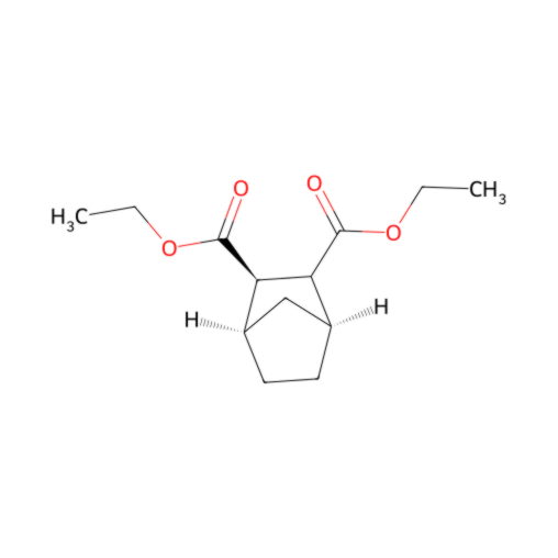 CCOC(=O)C1[C@H]2CC[C@H](C2)[C@H]1C(=O)OCC